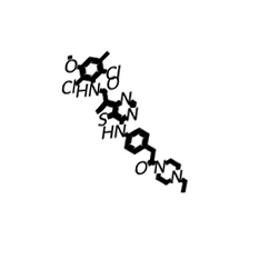 CCN1CCN(C(=O)Cc2ccc(Nc3ncnc4c(C(=O)Nc5c(Cl)c(C)cc(OC)c5Cl)csc34)cc2)CC1